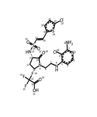 Nc1nccc(NCCN2CC[C@H](NS(=O)(=O)C=Cc3ccc(Cl)s3)C2=O)c1Cl.O=C(O)C(F)(F)F